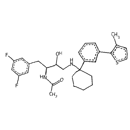 CC(=O)NC(Cc1cc(F)cc(F)c1)C(O)CNC1(c2cccc(-c3sccc3C)c2)CCCCC1